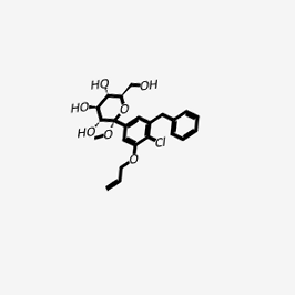 C=CCOc1cc([C@]2(OC)O[C@H](CO)[C@@H](O)[C@H](O)[C@H]2O)cc(Cc2ccccc2)c1Cl